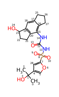 CC(C)(O)c1coc(S(=O)(=O)NC(=O)Nc2c3c(cc4c2CCC4O)CCC3)c1